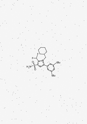 CC(C)(C)c1cc(-c2cc(S(N)(=O)=O)c(C(F)F)n2CC2CCCCC2)cc(C(C)(C)C)c1